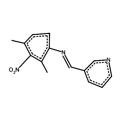 Cc1ccc(/N=C/c2cccnc2)c(C)c1[N+](=O)[O-]